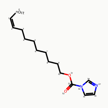 CCCCCCCC/C=C\CCCCCCCCOC(=O)n1ccnc1